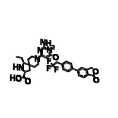 CCC1NC(C(=O)O)CC12CCN(c1cc(O[C@H](c3ccc(-c4ccc5c(c4)COC5=O)cc3)C(F)(F)F)nc(N)n1)CC2